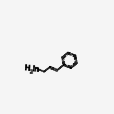 [InH2][CH2]C=Cc1ccccc1